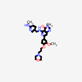 CNc1ccc(CNc2nc(-c3ccc(OCCCN4CCOCC4)c(OC)c3)cc3ncn(C)c(=O)c23)cn1